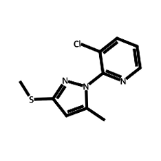 CSc1cc(C)n(-c2ncccc2Cl)n1